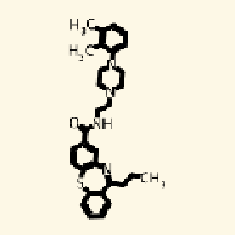 CCCC1=Nc2cc(C(=O)NCCN3CCN(c4cccc(C)c4C)CC3)ccc2SC2C=CC=CC12